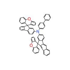 c1ccc(-c2ccc(N(c3ccc4c(c3)C3(c5ccccc5Oc5ccccc53)c3ccccc3-4)c3ccc4c(c3)C3(c5ccccc5Oc5ccccc53)c3cc5ccccc5cc3-4)cc2)cc1